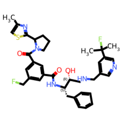 Cc1csc(C2CCCN2C(=O)c2cc(CF)cc(C(=O)N[C@@H](Cc3ccccc3)[C@H](O)CNCc3cncc(C(C)(C)F)c3)c2)n1